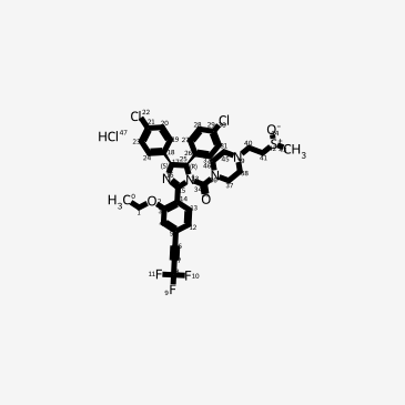 CCOc1cc(C#CC(F)(F)F)ccc1C1=N[C@@H](c2ccc(Cl)cc2)[C@@H](c2ccc(Cl)cc2)N1C(=O)N1CCN(CC[S+](C)[O-])CC1.Cl